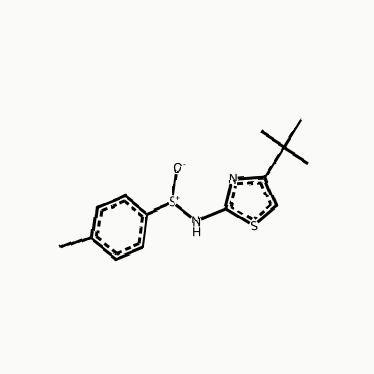 Cc1ccc([S+]([O-])Nc2nc(C(C)(C)C)cs2)cc1